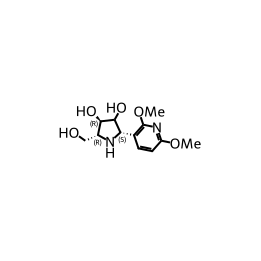 COc1ccc([C@@H]2N[C@H](CO)[C@@H](O)C2O)c(OC)n1